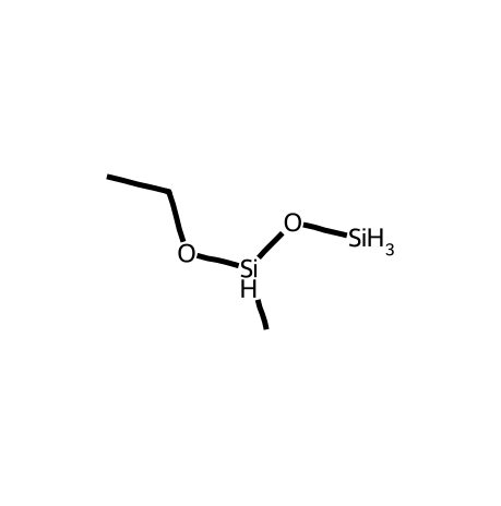 CCO[SiH](C)O[SiH3]